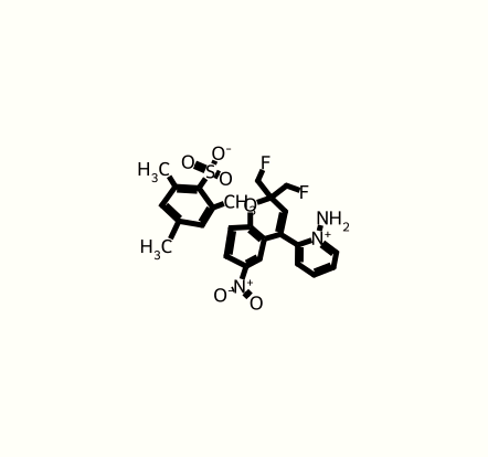 Cc1cc(C)c(S(=O)(=O)[O-])c(C)c1.N[n+]1ccccc1C1=CC(CF)(CF)Oc2ccc([N+](=O)[O-])cc21